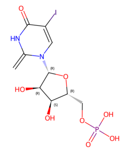 C=C1NC(=O)C(I)=CN1[C@@H]1O[C@H](COP(=O)(O)O)[C@@H](O)[C@H]1O